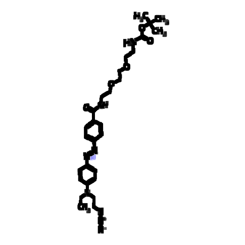 CCN(CCN=[N+]=[N-])c1ccc(/N=N/c2ccc(C(=O)NCCOCCOCCNC(=O)OC(C)(C)C)cc2)cc1